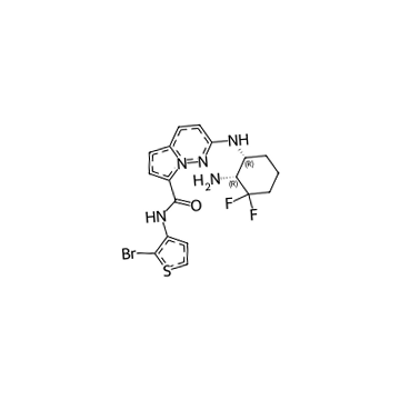 N[C@@H]1[C@H](Nc2ccc3ccc(C(=O)Nc4ccsc4Br)n3n2)CCCC1(F)F